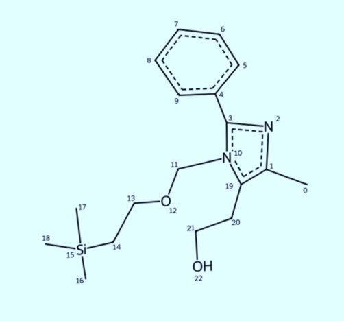 Cc1nc(-c2ccccc2)n(COCC[Si](C)(C)C)c1CCO